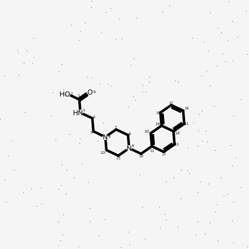 O=C(O)NCCN1CCN(Cc2ccc3ccccc3c2)CC1